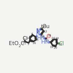 CCOC(=O)C(C)Cc1ccc(-n2nc(C(C)(C)C)cc2NC(=O)Nc2ccc(Cl)cc2)cc1